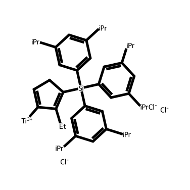 CCC1=C([Si](c2cc(C(C)C)cc(C(C)C)c2)(c2cc(C(C)C)cc(C(C)C)c2)c2cc(C(C)C)cc(C(C)C)c2)CC=[C]1[Ti+3].[Cl-].[Cl-].[Cl-]